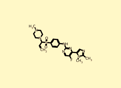 C=CC(N1CCN(C)CC1)S(=O)(=O)c1ccc(Nc2ncc(F)c(-c3cnc(C)n3C)n2)cc1